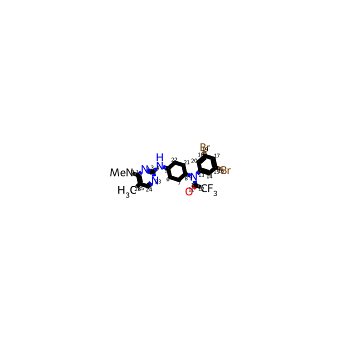 CNc1nc(NC2CCC(N(C(=O)C(F)(F)F)c3cc(Br)cc(Br)c3)CC2)ncc1C